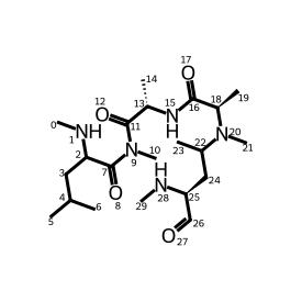 CNC(CC(C)C)C(=O)N(C)C(=O)[C@H](C)NC(=O)[C@@H](C)N(C)C(C)C[C@@H](C=O)NC